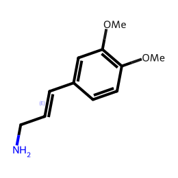 COc1ccc(/C=C/CN)cc1OC